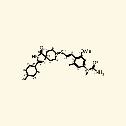 COc1cc(N(C)C(N)=O)cc(C)c1/C=C/SN1CCC2(CC1)N=C(C1CCC(C)CC1)NC2=O